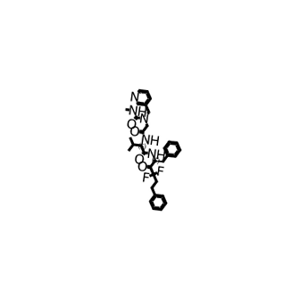 CNC(=O)N(CC(=O)N[C@H](C(=O)N[C@@H](Cc1ccccc1)C(=O)C(F)(F)CCc1ccccc1)C(C)C)Cc1cccnc1